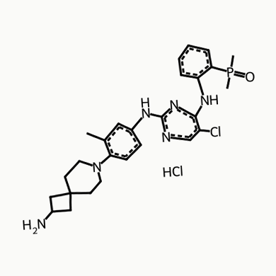 Cc1cc(Nc2ncc(Cl)c(Nc3ccccc3P(C)(C)=O)n2)ccc1N1CCC2(CC1)CC(N)C2.Cl